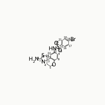 NC1=NC2(CCOc3ccc(NS(=O)(=O)c4ccc(Br)cc4)cc32)CS1